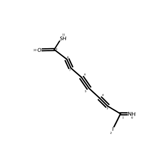 N=C(I)C#CC#CC#CC(=O)S